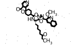 CCC(=O)CCCCC[C@H](NC(=O)C1CCC2(CC1)OC(=O)c1ccncc12)c1nnc(-c2cc3ccccc3nc2OC)o1